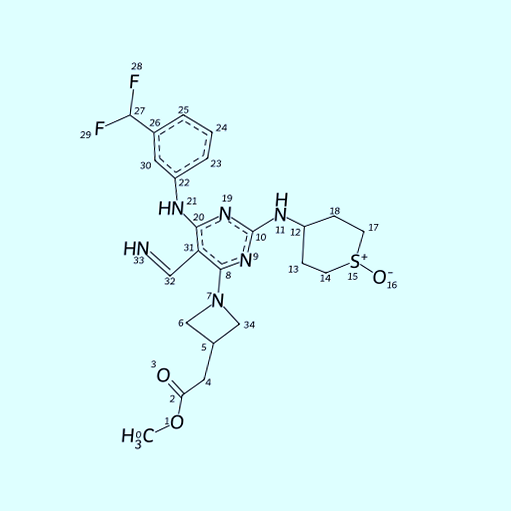 COC(=O)CC1CN(c2nc(NC3CC[S+]([O-])CC3)nc(Nc3cccc(C(F)F)c3)c2C=N)C1